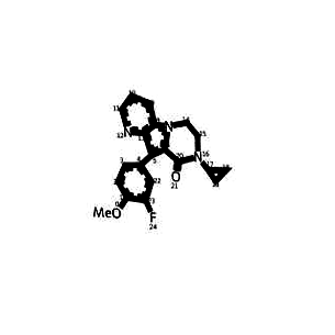 COc1ccc(-c2c3n(c4cccnc24)CCN(C2CC2)C3=O)cc1F